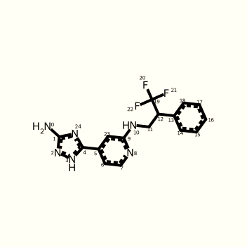 Nc1n[nH]c(-c2ccnc(NCC(c3ccccc3)C(F)(F)F)c2)n1